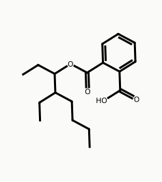 CCCCC(CC)C(CC)OC(=O)c1ccccc1C(=O)O